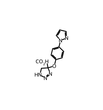 O=C(O)C1(Oc2ccc(-n3cccn3)cc2)CNN=N1